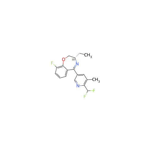 CC[C@H]1COc2c(F)cccc2C(c2cnc(C(F)F)c(C)c2)=N1